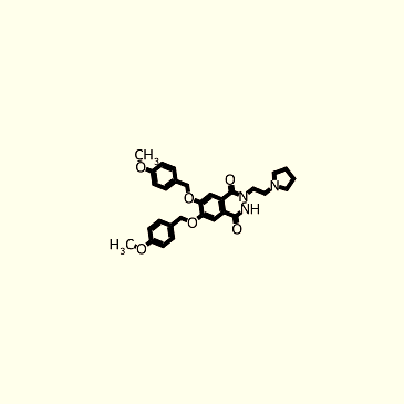 COc1ccc(COc2cc3c(=O)[nH]n(CCN4CCCC4)c(=O)c3cc2OCc2ccc(OC)cc2)cc1